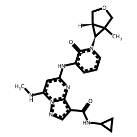 CNc1cc(Nc2cccn([C@H]3[C@@H]4COCC34C)c2=O)nc2c(C(=O)NC3CC3)cnn12